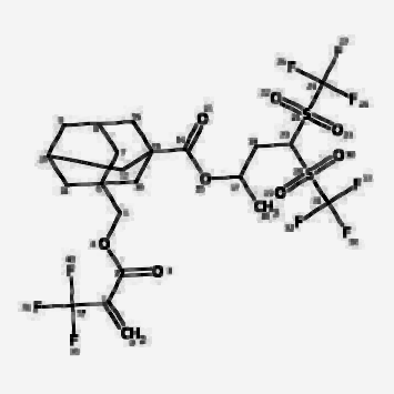 C=C(C(=O)OCC12CC3CC(C1)CC(C(=O)OC(C)CC(S(=O)(=O)C(F)(F)F)S(=O)(=O)C(F)(F)F)(C3)C2)C(F)(F)F